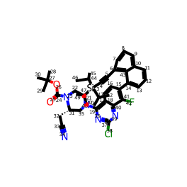 CC(C)[Si](C#Cc1cccc2cccc(-c3ccc4c(N5CCN(C(=O)OC(C)(C)C)[C@@H](CC#N)C5)nc(Cl)nc4c3F)c12)(C(C)C)C(C)C